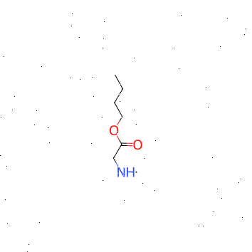 CCCCOC(=O)C[NH]